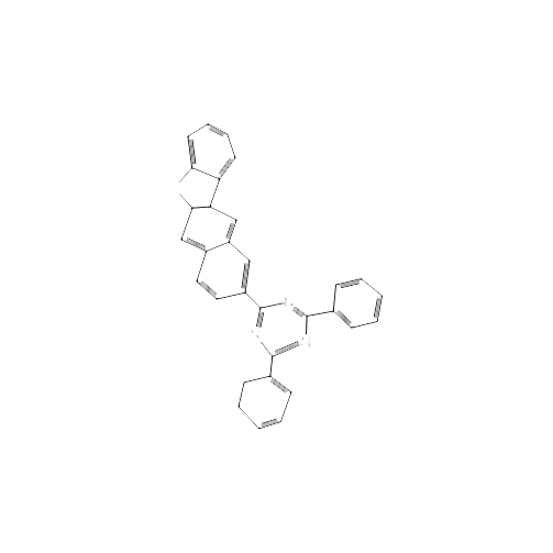 C1=CCCC(c2nc(-c3ccccc3)nc(-c3ccc4c(c3)=CC3c5ccccc5SC3C=4)n2)=C1